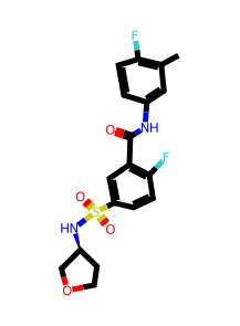 Cc1cc(NC(=O)c2cc(S(=O)(=O)N[C@H]3CCOC3)ccc2F)ccc1F